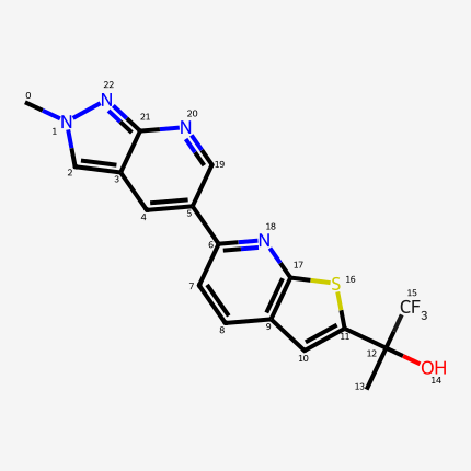 Cn1cc2cc(-c3ccc4cc(C(C)(O)C(F)(F)F)sc4n3)cnc2n1